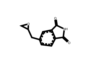 O=C1NC(=O)c2cc(CC3CO3)ccc21